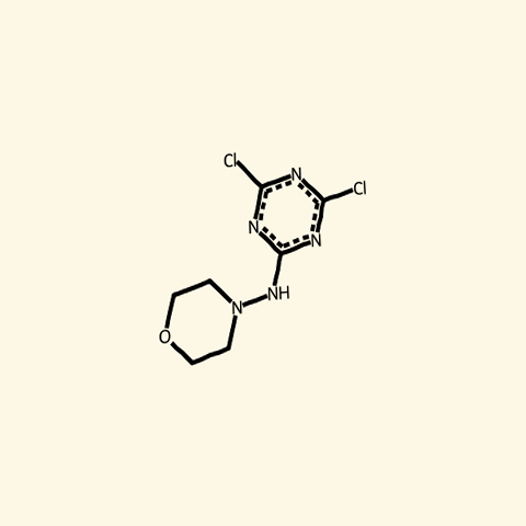 Clc1nc(Cl)nc(NN2CCOCC2)n1